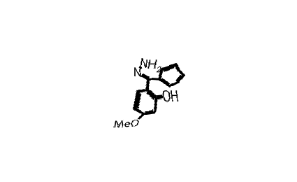 COc1ccc(C(=NN)c2ccccc2)c(O)c1